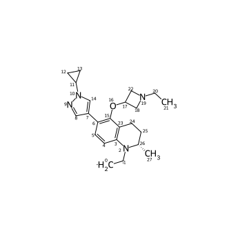 [CH2][CH]N1c2ccc(-c3cnn(C4CC4)c3)c(OC3CN(CC)C3)c2CC[C@@H]1C